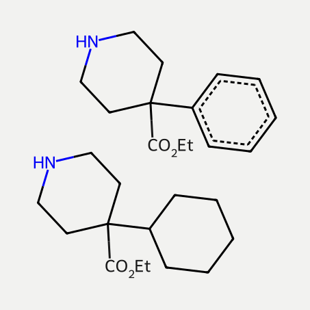 CCOC(=O)C1(C2CCCCC2)CCNCC1.CCOC(=O)C1(c2ccccc2)CCNCC1